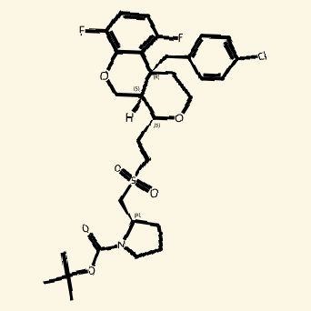 CC(C)(C)OC(=O)N1CCC[C@@H]1CS(=O)(=O)CC[C@@H]1OCC[C@@]2(Cc3ccc(Cl)cc3)c3c(F)ccc(F)c3OC[C@@H]12